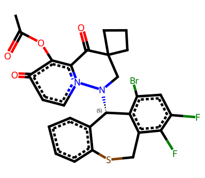 CC(=O)Oc1c2n(ccc1=O)N([C@H]1c3ccccc3SCc3c(F)c(F)cc(Br)c31)CC1(CCC1)C2=O